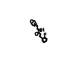 O=C(/C=C/c1ccccc1F)NCCN1CCOCC1